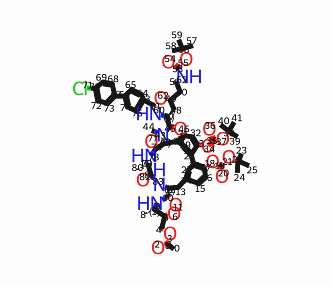 CC(=O)OCC(=O)[C@H](C)NC(=O)[C@@H]1Cc2ccc(OC(=O)OC(C)(C)C)c(c2)-c2cc(ccc2OC(=O)OC(C)(C)C)[C@H](N(C)C(=O)[C@H](CCCCNC(=O)OC(C)(C)C)NC(=O)c2ccc(-c3ccc(Cl)cc3)cc2)C(=O)N[C@@H](C)C(=O)N1